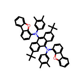 Cc1ccc(N(c2c3ccc(C(C)(C)C)cc3c(N(c3ccc(C)c(C)c3)c3cccc4c3oc3ccccc34)c3ccc(C(C)(C)C)cc23)c2cccc3c2oc2ccccc23)cc1C